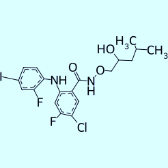 CC(C)CC(O)CONC(=O)c1cc(Cl)c(F)cc1Nc1ccc(I)cc1F